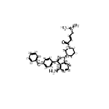 CC(C)N(C)C/C=C/C(=O)N1CCCC(n2nc(-c3ccc(Oc4ccccc4)cc3)c3c(N)ncnc32)C1